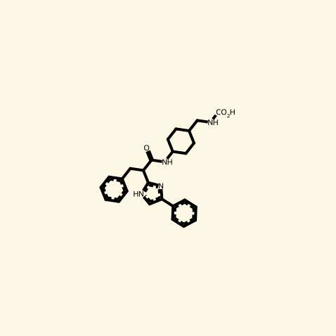 O=C(O)NCC1CCC(NC(=O)C(Cc2ccccc2)c2nc(-c3ccccc3)c[nH]2)CC1